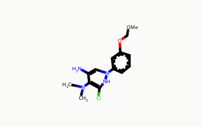 COCOc1cccc(N2C=C(N)C(N(C)C)=C(Cl)N2)c1